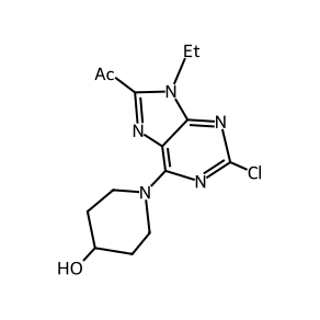 CCn1c(C(C)=O)nc2c(N3CCC(O)CC3)nc(Cl)nc21